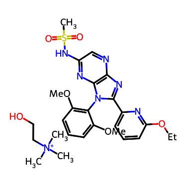 CCOc1cccc(-c2nc3ncc(NS(C)(=O)=O)nc3n2-c2c(OC)cccc2OC)n1.C[N+](C)(C)CCO